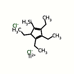 CCC1=C([SiH3])C(CC)C(CC)=C1CC.[Cl-].[Cl-].[Ti+2]